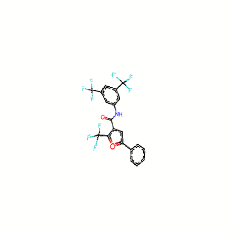 O=C(Nc1cc(C(F)(F)F)cc(C(F)(F)F)c1)c1cc(-c2ccccc2)oc1C(F)(F)F